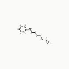 CCSCCCC=Nc1ccccc1